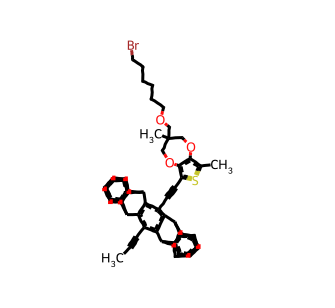 CC#Cc1c2c(c(C#Cc3sc(C)c4c3OCC(C)(COCCCCCCBr)CO4)c3c1C1c4ccccc4C3c3ccccc31)C1c3ccccc3C2c2ccccc21